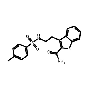 Cc1ccc(S(=O)(=O)NCCc2c(C(N)=O)sc3ccccc23)cc1